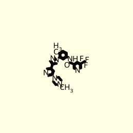 Cc1ccc(NC(=O)c2cncc(C(F)(F)F)c2)cc1-n1cc(-c2cncc(N3CCN(C)CC3)c2)cn1